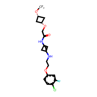 O=C(CO[C@H]1C[C@@H](OC(F)(F)F)C1)NC12CC(NCCOc3ccc(Cl)c(F)c3)(C1)C2